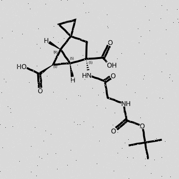 CC(C)(C)OC(=O)NCC(=O)N[C@@]1(C(=O)O)CC2(CC2)[C@H]2[C@H](C(=O)O)[C@H]21